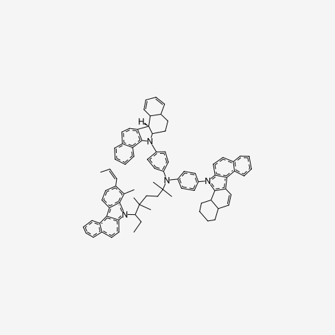 C/C=C\c1ccc2c3c4ccccc4ccc3n(C(CC)C(C)(C)CCC(C)(C)N(c3ccc(N4c5c(ccc6ccccc56)[C@@H]5C6C=CC=CC6CCC54)cc3)c3ccc(-n4c5c(c6c7ccccc7ccc64)C=CC4CCCCC54)cc3)c2c1C